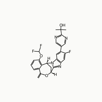 C=C1O[C@@H]2C[C@H](c3c(OC(F)F)cccc31)n1c2nc2cc(F)c(-c3cnc(C(C)(C)O)nc3)cc21